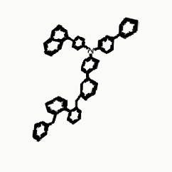 c1ccc(Cc2ccccc2-c2ccccc2Cc2cccc(-c3ccc(N(c4ccc(-c5ccccc5)cc4)c4ccc(-c5cccc6ccccc56)cc4)cc3)c2)cc1